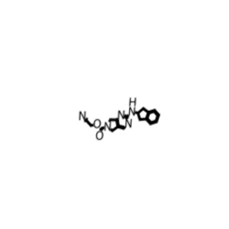 N#CCOC(=O)N1Cc2cnc(NC3Cc4ccccc4C3)nc2C1